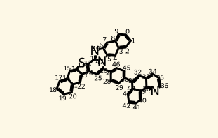 c1ccc2cc3c(cc2c1)nc1c2sc4cc5ccccc5cc4c2cc(-c2ccc(-c4cc5cccnc5c5ccccc45)cc2)n31